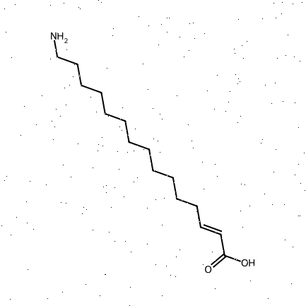 NCCCCCCCCCCCCC=CC(=O)O